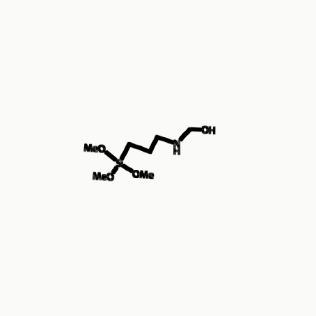 CO[Si](CCCNCO)(OC)OC